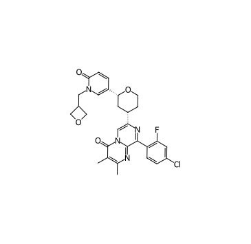 Cc1nc2c(-c3ccc(Cl)cc3F)nc([C@H]3CCO[C@@H](c4ccc(=O)n(CC5COC5)c4)C3)cn2c(=O)c1C